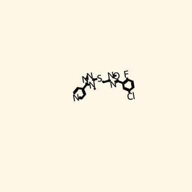 Cn1c(SCc2noc(-c3cc(Cl)ccc3F)n2)nnc1-c1ccncc1